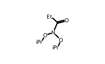 CCC(=O)N(OC(C)C)OC(C)C